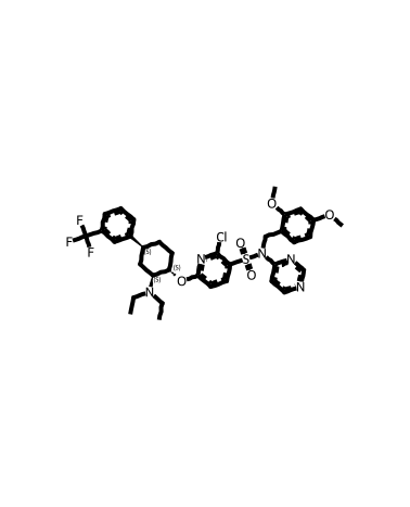 CCN(CC)[C@H]1C[C@@H](c2cccc(C(F)(F)F)c2)CC[C@@H]1Oc1ccc(S(=O)(=O)N(Cc2ccc(OC)cc2OC)c2ccncn2)c(Cl)n1